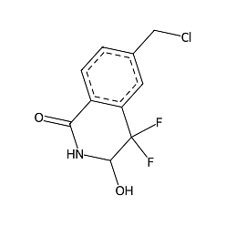 O=C1NC(O)C(F)(F)c2cc(CCl)ccc21